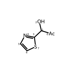 CC(=O)C(O)c1nccs1